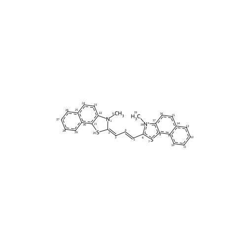 CN1/C(=C\C=C\c2sc3c4ccccc4ccc3[n+]2C)Sc2c1ccc1ccccc21